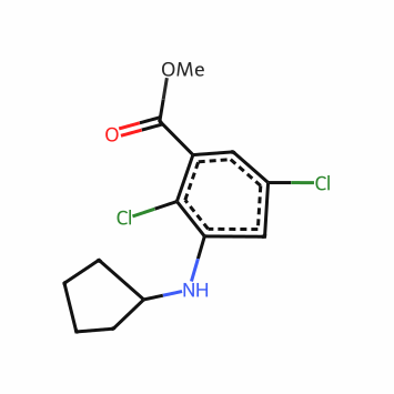 COC(=O)c1cc(Cl)cc(NC2CCCC2)c1Cl